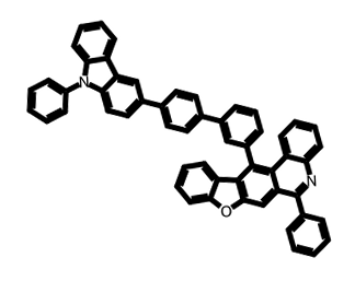 c1ccc(-c2nc3ccccc3c3c(-c4cccc(-c5ccc(-c6ccc7c(c6)c6ccccc6n7-c6ccccc6)cc5)c4)c4c(cc23)oc2ccccc24)cc1